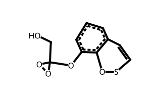 OCC1(Oc2cccc3c2OSC=C3)OO1